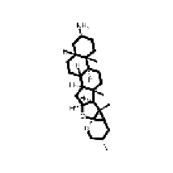 C[C@@H]1CO[C@]23O[C@H]4C[C@H]5[C@@H]6CC[C@@H]7C[C@@H](N)CC[C@]7(C)[C@H]6CC[C@]5(C)[C@H]4[C@]2(C)C3C1